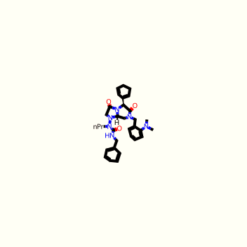 CCCN(C(=O)NCc1ccccc1)N1CC(=O)N2[C@@H](C3=CCCC=C3)C(=O)N(Cc3ccccc3N(C)C)C[C@@H]21